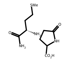 CSCC[C@H](N)C(N)=O.O=C1CCC(C(=O)O)N1